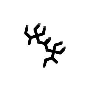 CC(CF)C(CF)(CF)OC(=O)OC(CF)(CF)C(C)CF